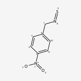 O=[N+]([O-])c1ccc(CN=S)cc1